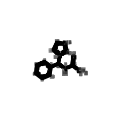 CC(=O)N[C](c1ccccc1)n1ccnn1